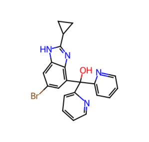 OC(c1ccccn1)(c1ccccn1)c1cc(Br)cc2[nH]c(C3CC3)nc12